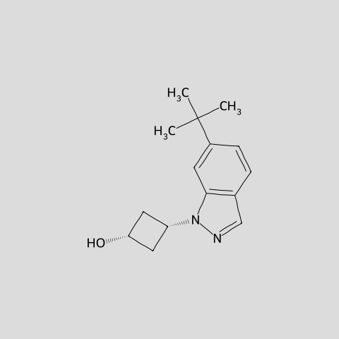 CC(C)(C)c1ccc2cnn([C@H]3C[C@@H](O)C3)c2c1